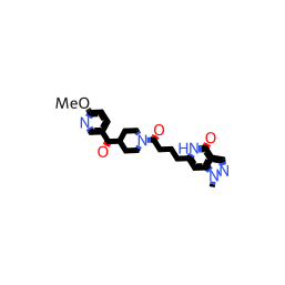 COc1ccc(C(=O)C2CCN(C(=O)CCCc3cc4c(cnn4C)c(=O)[nH]3)CC2)cn1